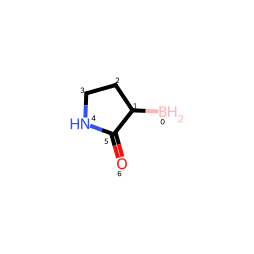 BC1CCNC1=O